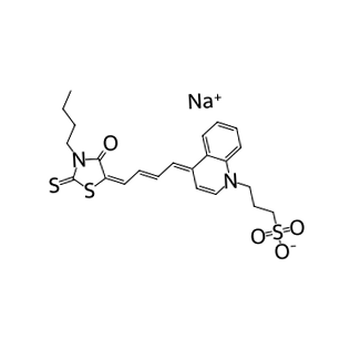 CCCCN1C(=O)\C(=C/C=C/C=C2\C=CN(CCCS(=O)(=O)[O-])c3ccccc32)SC1=S.[Na+]